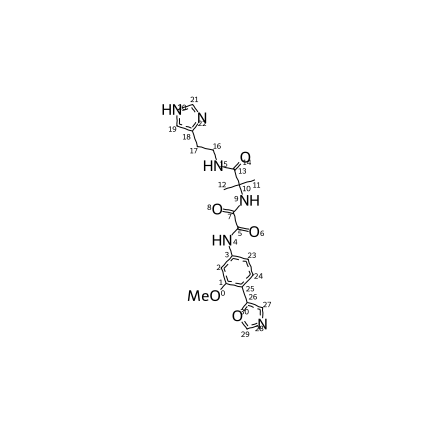 COc1cc(NC(=O)C(=O)NC(C)(C)C(=O)NCCc2c[nH]cn2)ccc1-c1cnco1